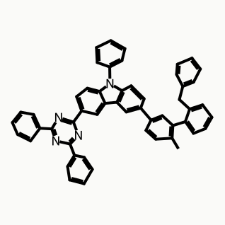 Cc1ccc(-c2ccc3c(c2)c2cc(-c4nc(-c5ccccc5)nc(-c5ccccc5)n4)ccc2n3-c2ccccc2)cc1-c1ccccc1Cc1ccccc1